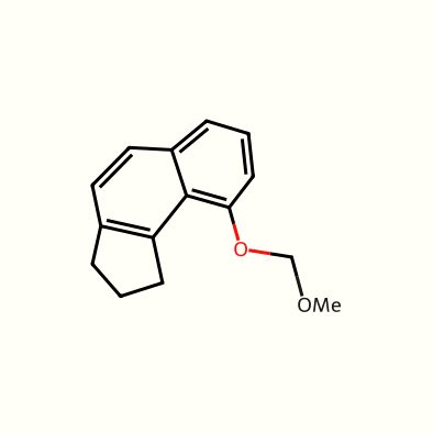 COCOc1cccc2ccc3c(c12)CCC3